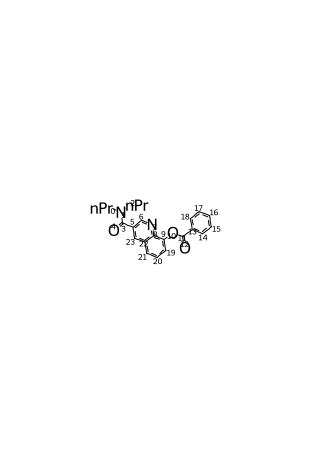 CCCN(CCC)C(=O)c1cnc2c(OC(=O)c3ccccc3)cccc2c1